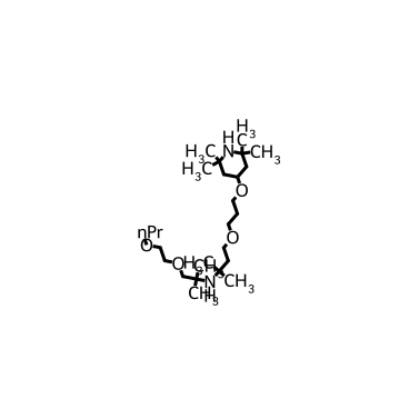 CCCOCCOCC(C)(C)NC(C)(C)CCOCCCOC1CC(C)(C)NC(C)(C)C1